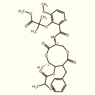 COC(=O)C(C)(C)Oc1c(OC)ccnc1C(=O)N[C@H]1COC(=O)C(Cc2ccccc2)C(OC(=O)C(C)C)[C@H](C)OC1=O